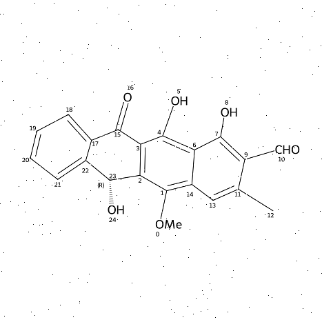 COc1c2c(c(O)c3c(O)c(C=O)c(C)cc13)C(=O)c1ccccc1[C@H]2O